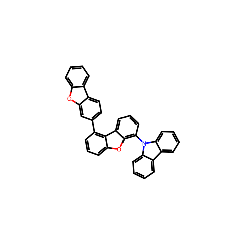 c1ccc2c(c1)oc1cc(-c3cccc4oc5c(-n6c7ccccc7c7ccccc76)cccc5c34)ccc12